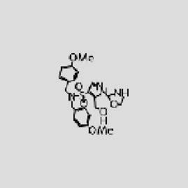 COc1ccc(CN(Cc2ccc(OC)cc2)S(=O)(=O)c2cnn(C3NCCO3)c2CO)cc1